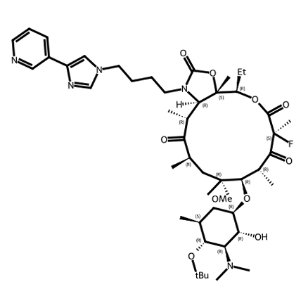 CC[C@H]1OC(=O)[C@@](C)(F)C(=O)[C@H](C)[C@@H](O[C@@H]2C[C@H](C)[C@@H](OC(C)(C)C)[C@H](N(C)C)[C@H]2O)[C@](C)(OC)C[C@@H](C)C(=O)[C@H](C)[C@H]2N(CCCCn3cnc(-c4cccnc4)c3)C(=O)O[C@]12C